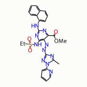 CCS(=O)(=O)Nc1nc(Nc2cccc3ccccc23)nc(C(=O)OC)c1N=Nc1nc(C)n(-c2ccccn2)n1